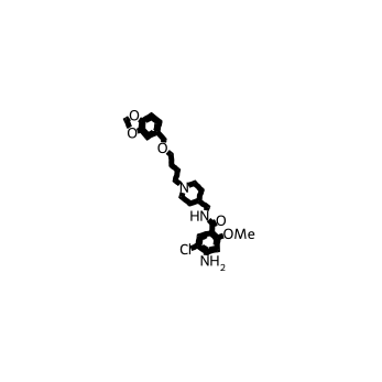 COc1cc(N)c(Cl)cc1C(=O)NCC1CCN(CCCCOCc2ccc3c(c2)OCO3)CC1